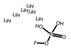 O=P(O)(O)OF.[LiH].[LiH].[LiH].[LiH].[LiH].[LiH]